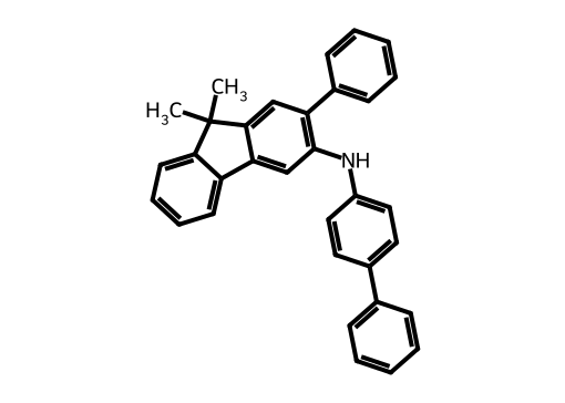 CC1(C)c2ccccc2-c2cc(Nc3ccc(-c4ccccc4)cc3)c(-c3ccccc3)cc21